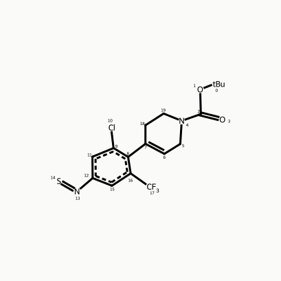 CC(C)(C)OC(=O)N1CC=C(c2c(Cl)cc(N=S)cc2C(F)(F)F)CC1